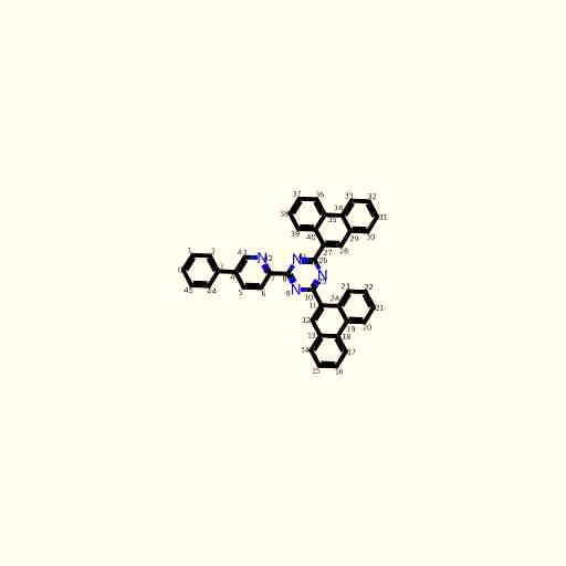 c1ccc(-c2ccc(-c3nc(-c4cc5ccccc5c5ccccc45)nc(-c4cc5ccccc5c5ccccc45)n3)nc2)cc1